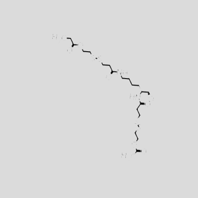 CCC(=O)OCCSSCCC(=O)NCCCC[C@@H](C=O)NC(=O)CCSSCCOC(C)=O